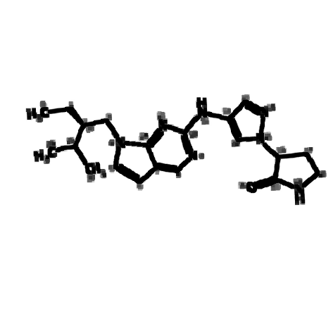 CC[C@@H](Cn1ccc2cnc(Nc3cnn(C4CCNC4=O)c3)nc21)C(C)C